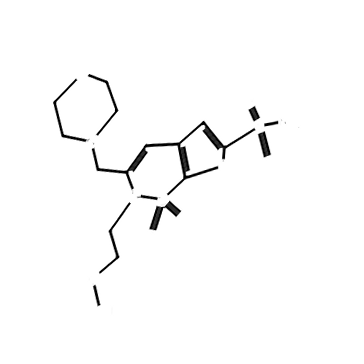 COCCN1C(CN2CCOCC2)=Cc2cc(S(N)(=O)=O)sc2S1(=O)=O